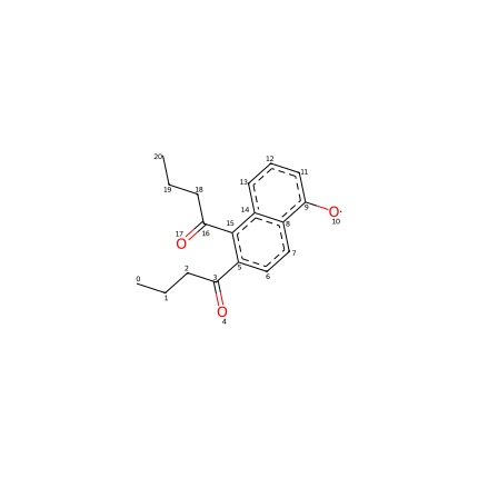 CCCC(=O)c1ccc2c([O])cccc2c1C(=O)CCC